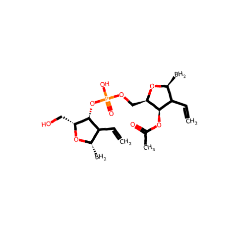 B[C@@H]1O[C@H](COP(=O)(O)O[C@@H]2C(C=C)[C@H](B)O[C@@H]2CO)[C@H](OC(C)=O)C1C=C